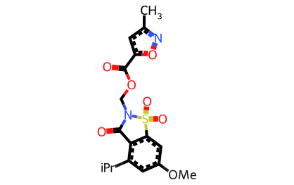 COc1cc(C(C)C)c2c(c1)S(=O)(=O)N(COC(=O)c1cc(C)no1)C2=O